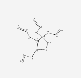 C=CCC1COC(CC=C)(CC=C)N1CC=C